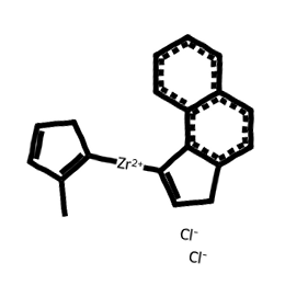 CC1=[C]([Zr+2][C]2=CCc3ccc4ccccc4c32)CC=C1.[Cl-].[Cl-]